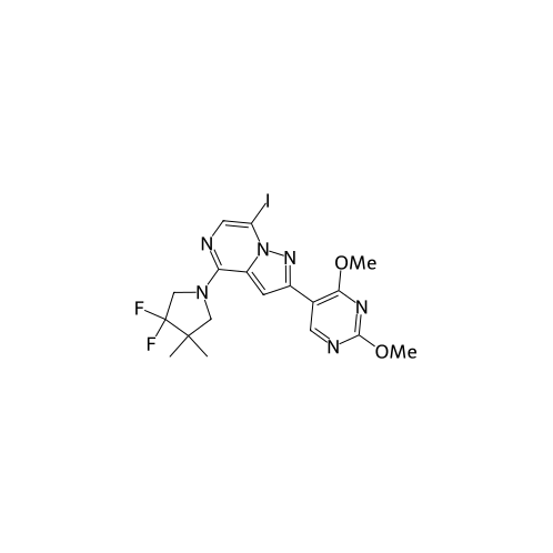 COc1ncc(-c2cc3c(N4CC(C)(C)C(F)(F)C4)ncc(I)n3n2)c(OC)n1